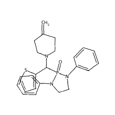 C=C1CCN(C(c2cccs2)P2(=O)N(c3ccccc3)CCN2c2ccccc2)CC1